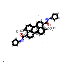 O=Cc1ccc2c3ccc(C(=O)NC4CCCC4)c4c(C(=O)O)ccc(c5ccc(C(=O)NC6CCCC6)c1c52)c43